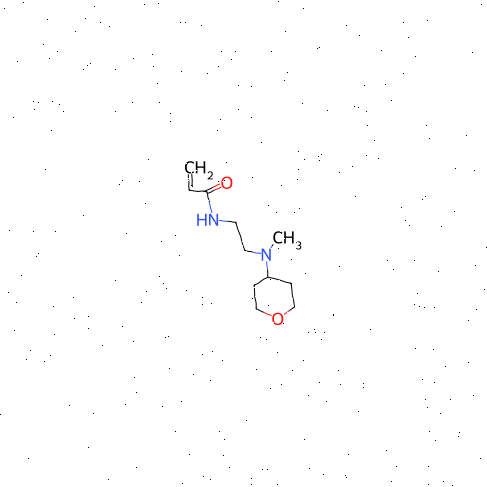 C=CC(=O)NCCN(C)C1CCOCC1